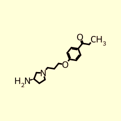 CCC(=O)c1ccc(OCCCN2CC[C@@H](N)C2)cc1